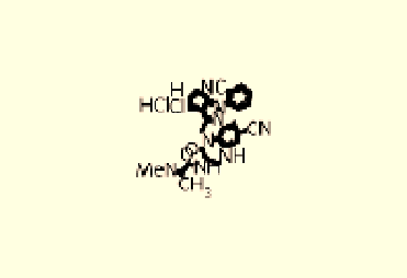 CNC(C)C(=O)NC1CNc2cc(C#N)ccc2N(Cc2nn(-c3ccccc3C#N)c3ccccc23)C1=O.Cl.Cl